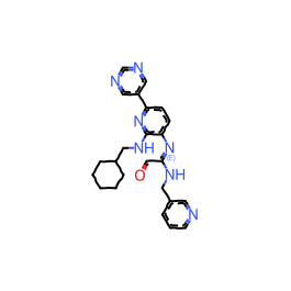 O=C/C(=N\c1ccc(-c2cncnc2)nc1NCC1CCCCC1)NCc1cccnc1